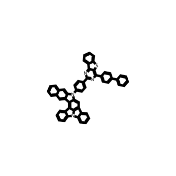 c1ccc(-c2ccc(-c3nc(-c4ccc(-n5c6cc7ccccc7cc6c6c7c8ccccc8n8c9ccccc9c(cc65)c78)cc4)nc4c3sc3ccccc34)cc2)cc1